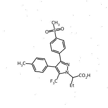 CCC(C(=O)O)n1nc(-c2ccc(S(C)(=O)=O)cc2)c(-c2ccc(C)cc2)c1C(F)(F)F